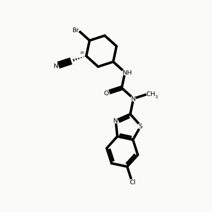 CN(C(=O)NC1CCC(Br)[C@@H](C#N)C1)c1nc2ccc(Cl)cc2s1